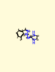 Cc1cccc2cnn(N=C3NCCN3)c12